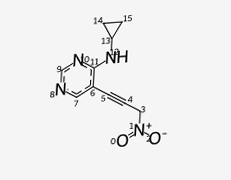 O=[N+]([O-])CC#Cc1cncnc1NC1CC1